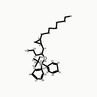 CCCCCCCCC1CC1CC(CCI)O[Si](c1ccccc1)(c1ccccc1)C(C)(C)C